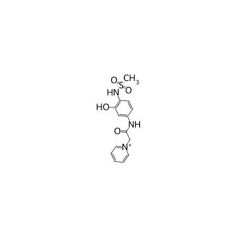 CS(=O)(=O)Nc1ccc(NC(=O)C[n+]2ccccc2)cc1O